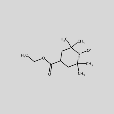 CCOC(=O)C1CC(C)(C)[NH+]([O-])C(C)(C)C1